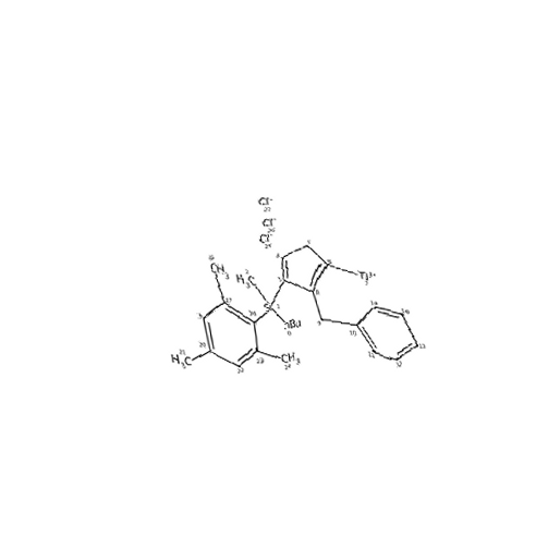 CCCC[Si](C)(C1=CC[C]([Ti+3])=C1Cc1ccccc1)c1c(C)cc(C)cc1C.[Cl-].[Cl-].[Cl-]